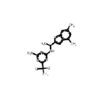 Cc1cc(C)c2cc(C(C)Nc3nc(N)nc(C(C)(Cl)Cl)n3)sc2c1